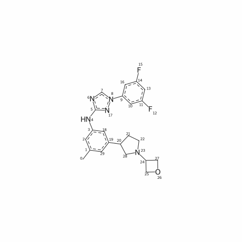 Cc1cc(Nc2ncn(-c3cc(F)cc(F)c3)n2)cc(C2CCN(C3COC3)C2)c1